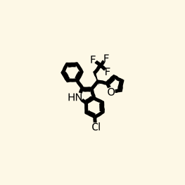 FC(F)(F)C[C@@H](c1ccco1)c1c(-c2ccccc2)[nH]c2cc(Cl)ccc12